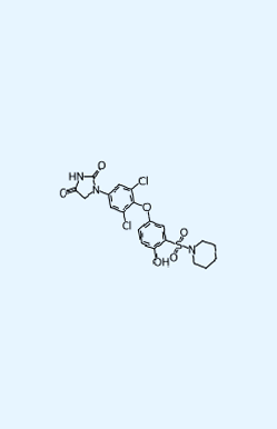 O=C1CN(c2cc(Cl)c(Oc3ccc(O)c(S(=O)(=O)N4CCCCC4)c3)c(Cl)c2)C(=O)N1